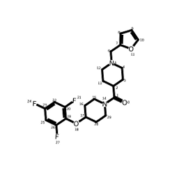 O=C(C1CCN(Cc2ccco2)CC1)N1CCC(Oc2c(F)cc(F)cc2F)CC1